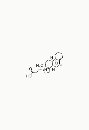 C[C@]12CC[C@H]3[C@@H](CCC4=CCCC[C@@]43C)[C@@H]1CC[C@@H]2CCC(=O)O